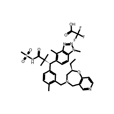 CC[C@@H]1CN(Cc2cc([C@@H](c3ccc4c(nnn4C)c3C)C(C)(C)C(=O)NS(C)(=O)=O)ccc2C)Cc2cnccc2O1.O=C(O)C(F)(F)F